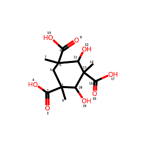 CC1(C(=O)O)CC(C)(C(=O)O)C(O)C(C)(C(=O)O)C1O